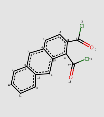 O=C(Cl)c1ccc2cc3ccccc3cc2c1C(=O)Cl